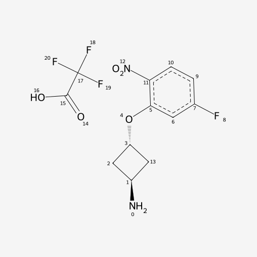 N[C@H]1C[C@H](Oc2cc(F)ccc2[N+](=O)[O-])C1.O=C(O)C(F)(F)F